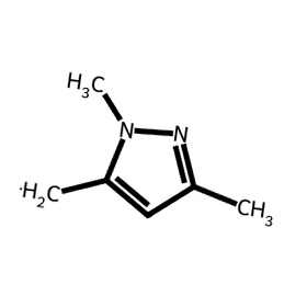 [CH2]c1cc(C)nn1C